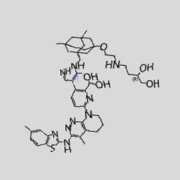 C/C(NCC12CC3(C)CC(C)(C1)CC(OCCNCC[C@@H](O)CO)(C3)C2)=C(/C=N)c1ccc(N2CCCc3c2nnc(Nc2nc4cc(C)ccc4s2)c3C)nc1C(O)O